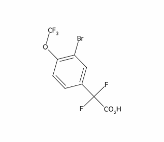 O=C(O)C(F)(F)c1ccc(OC(F)(F)F)c(Br)c1